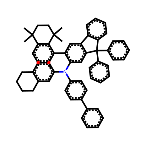 Cc1ccc2c(c1-c1cc3c(cc1N(c1ccc(-c4ccccc4)cc1)c1ccc4c(c1)CCCC4)C(c1ccccc1)(c1ccccc1)c1ccccc1-3)C(C)(C)CCC2(C)C